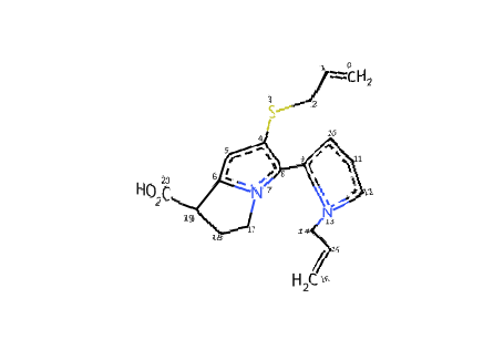 C=CCSc1cc2n(c1-c1cccn1CC=C)CCC2C(=O)O